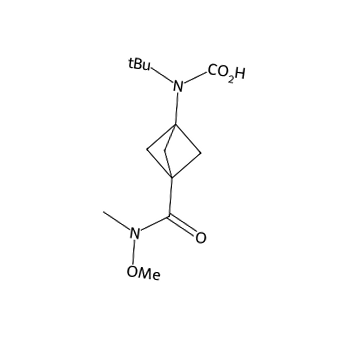 CON(C)C(=O)C12CC(N(C(=O)O)C(C)(C)C)(C1)C2